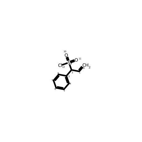 C=CC(c1ccccc1)S(=O)(=O)Cl